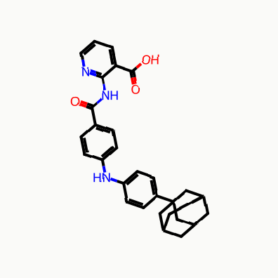 O=C(Nc1ncccc1C(=O)O)c1ccc(Nc2ccc(C34CC5CC(CC(C5)C3)C4)cc2)cc1